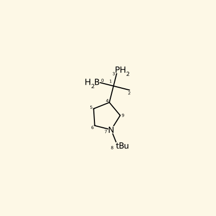 BC(C)(P)C1CCN(C(C)(C)C)C1